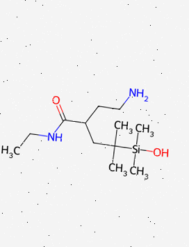 CCNC(=O)C(CCN)CC(C)(C)[Si](C)(C)O